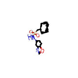 O=S(=O)(Cc1ccccc1)Nc1ccc2ocnc2c1